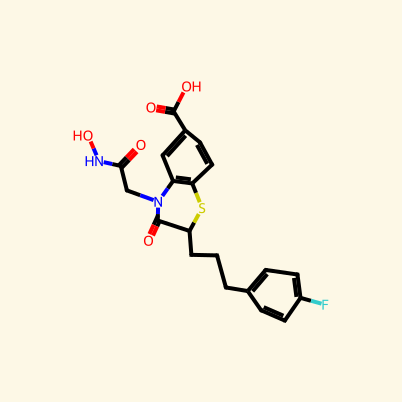 O=C(CN1C(=O)C(CCCc2ccc(F)cc2)Sc2ccc(C(=O)O)cc21)NO